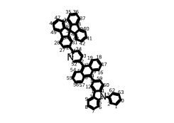 c1ccc(-n2c3ccccc3c3cc(-c4c5ccccc5c(-c5ccc(-c6ccc7c(c6)C6(c8ccccc8-c8ccccc86)c6ccccc6-7)nc5)c5ccccc45)ccc32)cc1